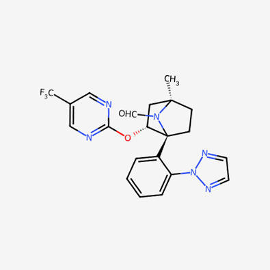 C[C@@]12CC[C@](c3ccccc3-n3nccn3)([C@H](Oc3ncc(C(F)(F)F)cn3)C1)N2C=O